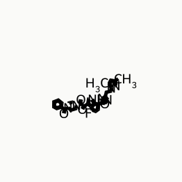 Cc1cc(C)n(CCc2noc(-c3ccc(F)c4c(C(=O)C(=O)N5CCN(C(=O)c6ccccc6)CC5)c[nH]c34)n2)n1